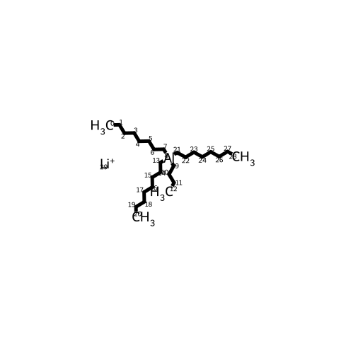 CCCCCCC[CH2][Al-]([CH2]CCC)([CH2]CCCCCCC)[CH2]CCCCCCC.[Li+]